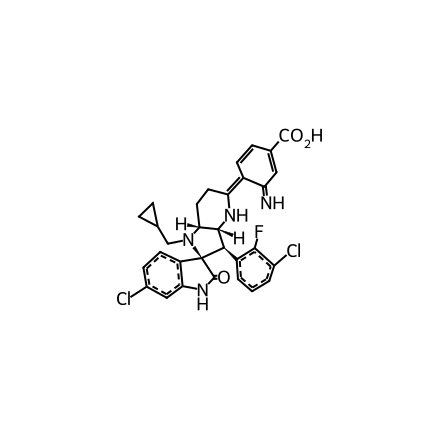 N=C1C=C(C(=O)O)C=C/C1=C1\CC[C@@H]2[C@H](N1)[C@@H](c1cccc(Cl)c1F)[C@@]1(C(=O)Nc3cc(Cl)ccc31)N2CC1CC1